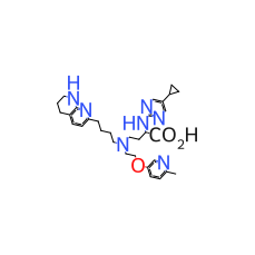 Cc1ccc(OCCN(CCCCc2ccc3c(n2)NCCC3)CCC(Nc2ncc(C3CC3)cn2)C(=O)O)cn1